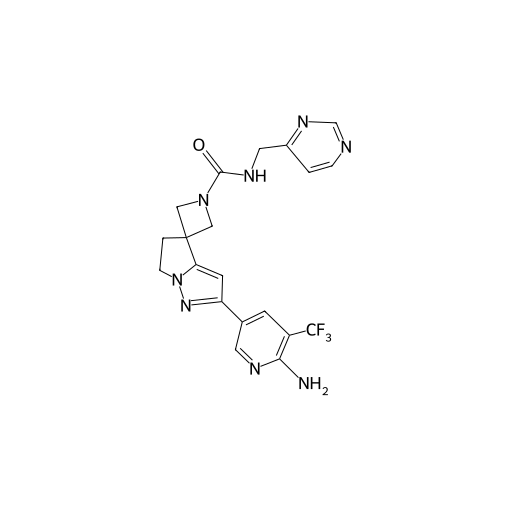 Nc1ncc(-c2cc3n(n2)CCC32CN(C(=O)NCc3ccncn3)C2)cc1C(F)(F)F